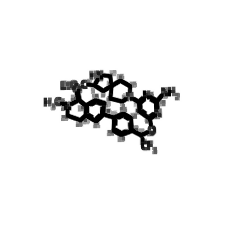 CCOC(=O)C1CC2(CCN(c3cc(O[C@H](c4ccc(-c5ccc6c(c5)CCN(C)C6=O)cc4)C(F)(F)F)nc(N)n3)CC2)CN1